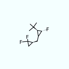 CC(C)(C)[C@@H]1C(C[C@H]2CC2(F)F)[C@H]1F